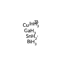 [BiH3].[Cu].[GaH3].[InH3].[SnH2].[Tl]